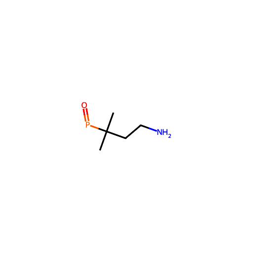 CC(C)(CCN)P=O